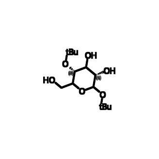 CC(C)(C)OC1OC(CO)[C@H](OC(C)(C)C)C(O)[C@@H]1O